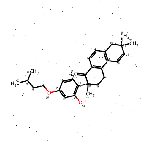 C=C1c2ccc3c(c2CCC1(C)c1ccc(OCCC(C)C)cc1O)C=CC(C)(C)C3